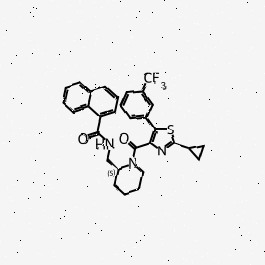 O=C(NC[C@@H]1CCCCN1C(=O)c1nc(C2CC2)sc1-c1cccc(C(F)(F)F)c1)c1cccc2ccccc12